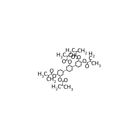 C=C(C)C(=O)Oc1ccc(-c2ccc(-c3ccc(OC(=O)C(=C)C)c(OC(=O)C(=C)C)c3)c(OC(=O)C(=C)C)c2)cc1OC(=O)C(=C)C